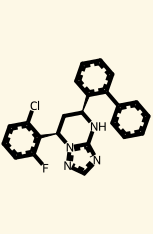 Fc1cccc(Cl)c1[C@H]1C[C@@H](c2ccccc2-c2ccccc2)Nc2ncnn21